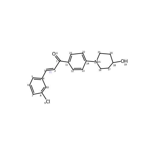 O=C(/C=C/c1cccc(Cl)c1)c1ccc(N2CCC(O)CC2)cc1